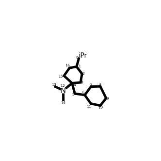 CC(C)C1CCC(CC2CCCCC2)(N(C)C)CC1